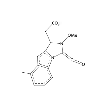 CON1C(=C=O)n2c(cc3c(C)cccc32)C1CC(=O)O